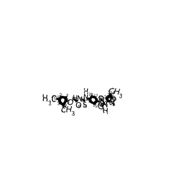 Cc1ccc(OCC(=O)NC(=S)Nc2ccc(S(=O)(=O)Nc3cc(C)on3)cc2)c(C)c1